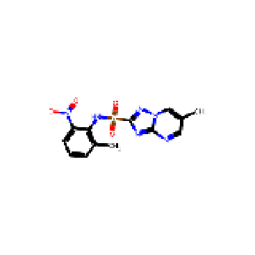 Cc1cnc2nc(S(=O)(=O)Nc3c(C)cccc3[N+](=O)[O-])nn2c1